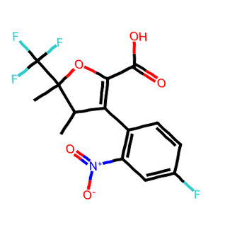 CC1C(c2ccc(F)cc2[N+](=O)[O-])=C(C(=O)O)OC1(C)C(F)(F)F